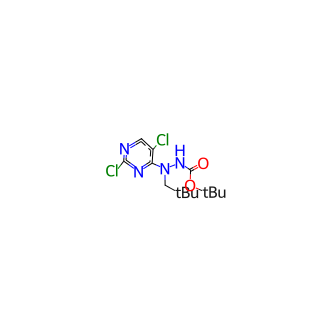 CC(C)(C)CN(NC(=O)OC(C)(C)C)c1nc(Cl)ncc1Cl